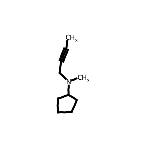 CC#CCN(C)C1CCCC1